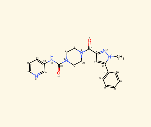 Cn1nc(C(=O)N2CCN(C(=O)Nc3cccnc3)CC2)cc1-c1ccccc1